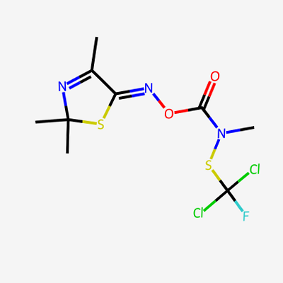 CC1=NC(C)(C)SC1=NOC(=O)N(C)SC(F)(Cl)Cl